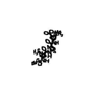 COC(=O)c1cc(NC(=O)c2csc(NC(=O)c3cc(NC(=O)OC(C)(C)C)cn3C)n2)cn1C